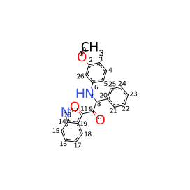 COc1cccc(NC(C(=O)c2onc3ccccc23)c2ccccc2)c1